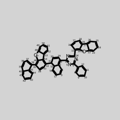 C1=CC2=C(c3nc(-c4ccccc4)nc(-c4cccc5c4oc4ccccc45)n3)C=CC(c3ccc(-c4cccc5ccccc45)c4oc5ccccc5c34)C2C=C1